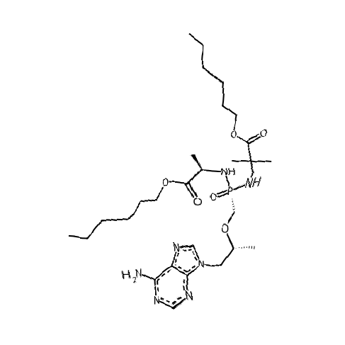 CCCCCCOC(=O)[C@@H](C)N[P@@](=O)(CO[C@H](C)Cn1cnc2c(N)ncnc21)NC(C)(C)C(=O)OCCCCCC